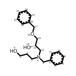 OCCCN(Cc1ccccc1)C[C@H](O)COCc1ccccc1